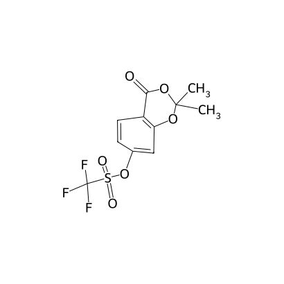 CC1(C)OC(=O)c2ccc(OS(=O)(=O)C(F)(F)F)cc2O1